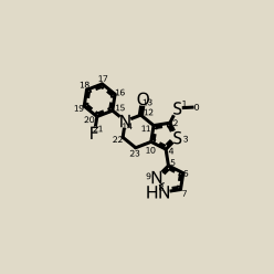 CSc1sc(-c2cc[nH]n2)c2c1C(=O)N(c1ccccc1F)CC2